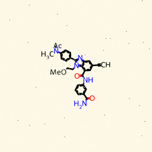 C#Cc1cc(C(=O)Nc2cccc(C(N)=O)c2)c2c(c1)nc(-c1ccc(N(C)C(C)=O)cc1)n2CCOC